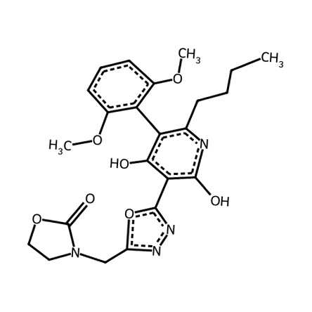 CCCCc1nc(O)c(-c2nnc(CN3CCOC3=O)o2)c(O)c1-c1c(OC)cccc1OC